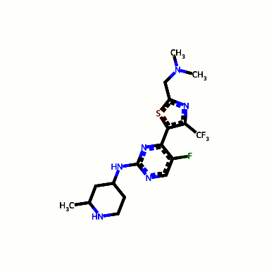 CC1CC(Nc2ncc(F)c(-c3sc(CN(C)C)nc3C(F)(F)F)n2)CCN1